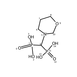 O=P(O)(O)C(N1CCCOC1)P(=O)(O)O